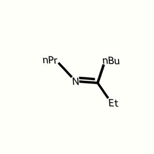 CCCC/C(CC)=N\CCC